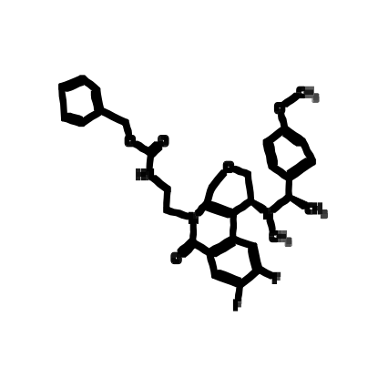 COc1ccc([C@@H](C)N(C)[C@@H]2COCc3c2c2cc(F)c(F)cc2c(=O)n3CCNC(=O)OCc2ccccc2)cc1